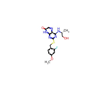 COc1ccc(CSc2nc(N[C@H](C)CO)c3ncc(=O)[nH]c3n2)c(F)c1